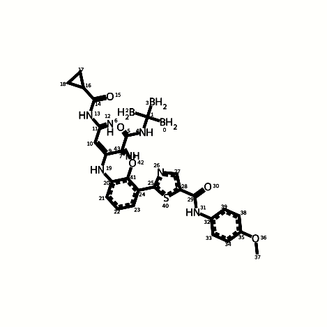 BC(B)(B)NC(=O)C(=N)/C(=C\C(=N)NC(=O)C1CC1)Nc1cccc(-c2ncc(C(=O)Nc3ccc(OC)cc3)s2)c1OC